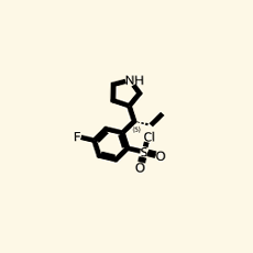 CC[C@H](c1cc(F)ccc1S(=O)(=O)Cl)C1CCNC1